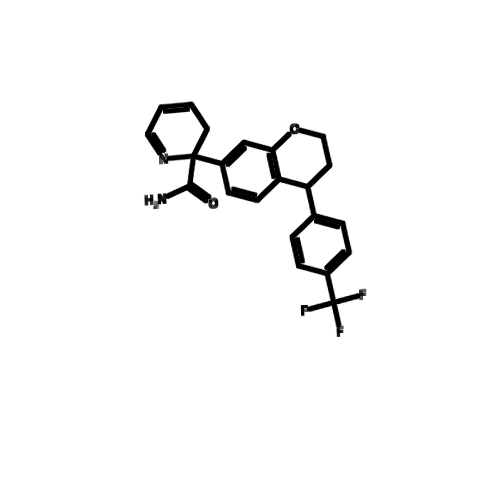 NC(=O)C1(c2ccc3c(c2)OCCC3c2ccc(C(F)(F)F)cc2)CC=CC=N1